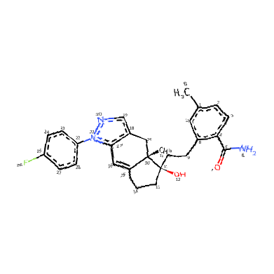 Cc1ccc(C(N)=O)c(CC[C@]2(O)CCC3=Cc4c(cnn4-c4ccc(F)cc4)C[C@@]32C)c1